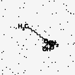 CCCCCCCCCCCCCCOC[N+](C)(CCCO)CC(=O)[O-]